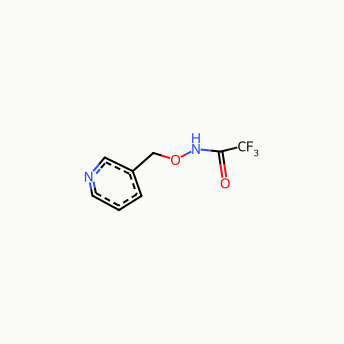 O=C(NOCc1cccnc1)C(F)(F)F